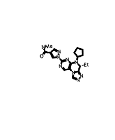 CC[C@@H]1c2nncn2-c2cnc(-n3cc(C(=O)NC)cn3)nc2N1C1CCCC1